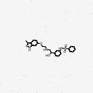 Cc1n[nH]c2cc(OCCNCC(O)c3cccc(NS(=O)(=O)c4ccccc4)c3)ccc12